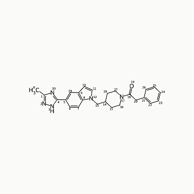 Cc1n[nH]c(-c2ccc3c(ccn3CC3CCN(C(=O)Cc4ccccc4)CC3)c2)n1